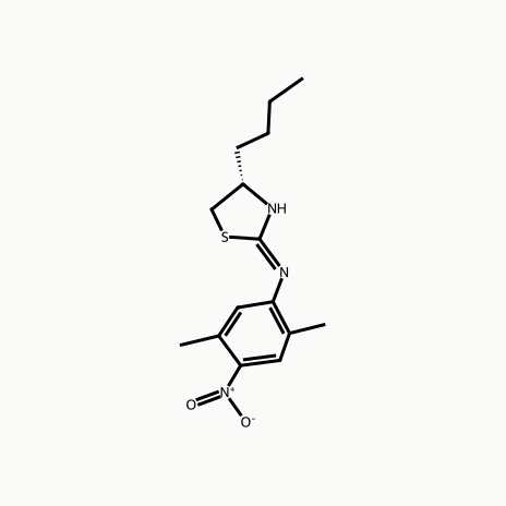 CCCC[C@H]1CSC(=Nc2cc(C)c([N+](=O)[O-])cc2C)N1